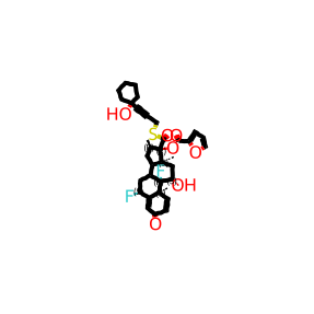 C[C@@H]1CC2C3C[C@H](F)C4=CC(=O)C=C[C@]4(C)[C@@]3(F)[C@@H](O)C[C@]2(C)[C@@]1(OC(=O)c1ccco1)C(=O)SCC#CC1(O)CCCCC1